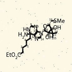 CCOC(=O)CCCCCC1(N)NC=Nc2c1ncn2[C@@H]1O[C@H](CSC)[C@@]2(O)C(C)(C)[C@@]12O